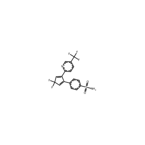 NS(=O)(=O)c1ccc(C2=CC(F)(F)C=C2c2ccc(C(F)(F)F)cn2)cc1